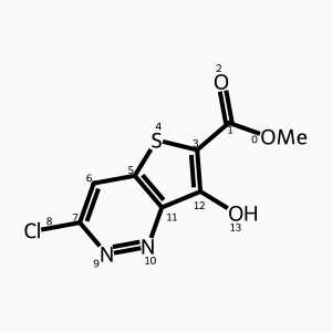 COC(=O)c1sc2cc(Cl)nnc2c1O